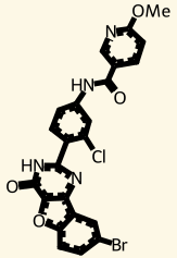 COc1ccc(C(=O)Nc2ccc(-c3nc4c(oc5ccc(Br)cc54)c(=O)[nH]3)c(Cl)c2)cn1